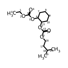 CCOC(=O)OC1CCCCC1OC(=O)OCCC(C)C